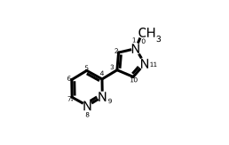 Cn1cc(-c2cc[c]nn2)cn1